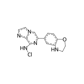 ClNc1nc(-c2ccc3c(c2)NCCO3)cn2ccnc12